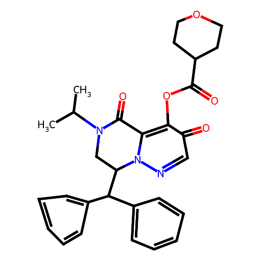 CC(C)N1CC(C(c2ccccc2)c2ccccc2)n2ncc(=O)c(OC(=O)C3CCOCC3)c2C1=O